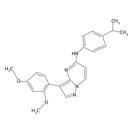 COc1ccc(-c2cnn3ccc(Nc4ccc(C(C)C)cc4)nc23)c(OC)c1